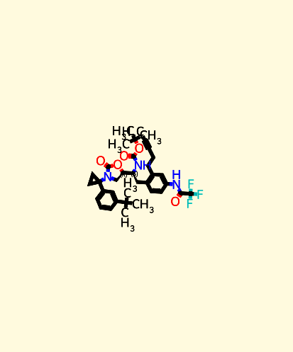 CC#CCCc1cc(NC(=O)C(F)(F)F)ccc1C[C@H](NC(=O)OC(C)(C)C)[C@H]1CN(C2(c3cccc(C(C)(C)C)c3)CC2)C(=O)O1